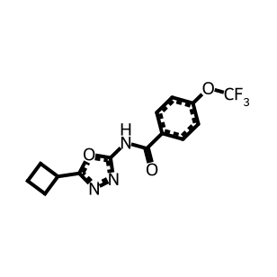 O=C(Nc1nnc(C2CCC2)o1)c1ccc(OC(F)(F)F)cc1